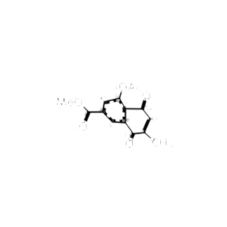 COC(=O)c1cc(OC(C)=O)c2c(c1)C(=O)C(C)=CC2=O